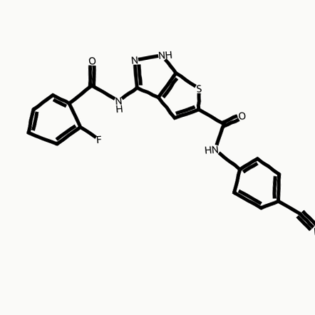 N#Cc1ccc(NC(=O)c2cc3c(NC(=O)c4ccccc4F)n[nH]c3s2)cc1